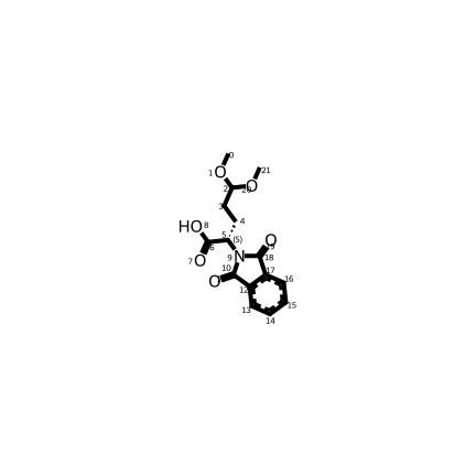 COC(CC[C@@H](C(=O)O)N1C(=O)c2ccccc2C1=O)OC